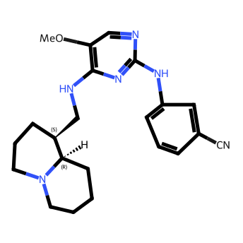 COc1cnc(Nc2cccc(C#N)c2)nc1NC[C@@H]1CCCN2CCCC[C@H]12